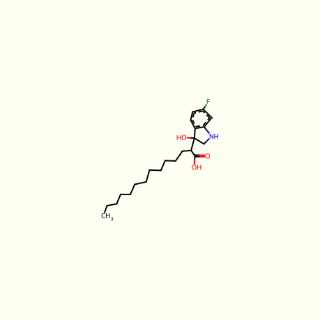 CCCCCCCCCCCCC(C(=O)O)C1(O)CNc2cc(F)ccc21